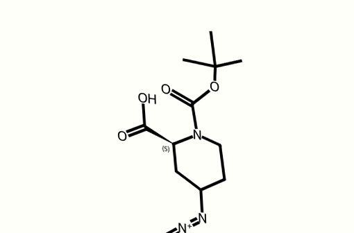 CC(C)(C)OC(=O)N1CCC(N=[N+]=[N-])C[C@H]1C(=O)O